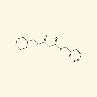 O=C(CC(=O)OCC1CCCCC1)OCc1ccccc1